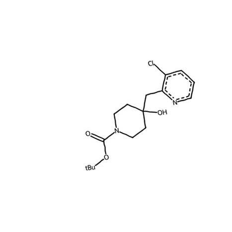 CC(C)(C)OC(=O)N1CCC(O)(Cc2ncccc2Cl)CC1